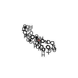 CC(C)Oc1ccccc1[C@@H]1COCCN1[C@H]1CCCC2(CCN(c3ccc(C(=O)NS(=O)(=O)c4cc5c(c([N+](=O)[O-])c4)N[C@H](C4(F)CCC(C)(OP(=O)(O)O)CC4)CO5)c(N4c5cc6cc[nH]c6nc5O[C@H]5COCC[C@@H]54)c3)CC2)C1